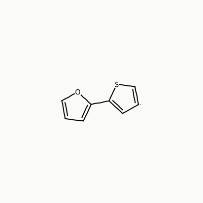 [c]1csc(-c2ccco2)c1